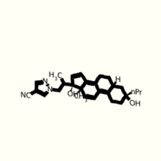 CCC[C@@]1(O)CCC2=C3C=C[C@@]4(C)C(=C3CC[C@@H]2C1)C=C[C@]4(O)C(C)Cn1cc(C#N)cn1